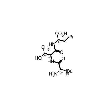 CC[C@H](C)[C@H](N)C(=O)N[C@H](C(=O)N[C@@H](CC(C)C)C(=O)O)[C@@H](C)O